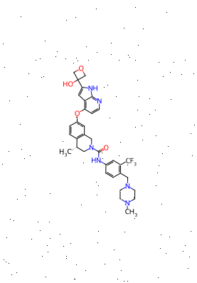 C[C@H]1CN(C(=O)Nc2ccc(CN3CCN(C)CC3)c(C(F)(F)F)c2)Cc2cc(Oc3ccnc4[nH]c(C5(O)COC5)cc34)ccc21